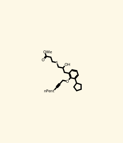 CCCCCC#CCOc1c(CC(O)CSCCC(=O)OC)cccc1C1CCCC1